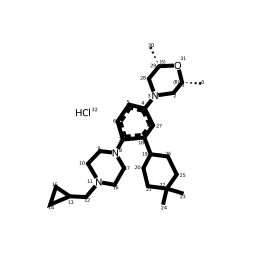 C[C@@H]1CN(c2ccc(N3CCN(CC4CC4)CC3)c(C3CCC(C)(C)CC3)c2)C[C@H](C)O1.Cl